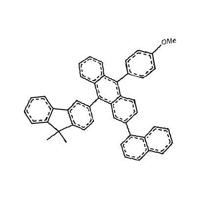 COc1ccc(-c2c3ccccc3c(-c3ccc4c(c3)-c3ccccc3C4(C)C)c3cc(-c4cccc5ccccc45)ccc23)cc1